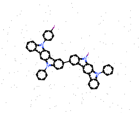 Ic1ccc(-n2c3ccccc3c3cc4c(cc32)c2cc(-c3ccc5c(c3)c3cc6c7ccccc7n(-c7ccccc7)c6cc3n5I)ccc2n4-c2ccccc2)cc1